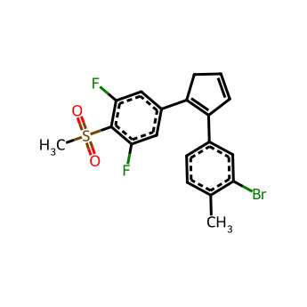 Cc1ccc(C2=C(c3cc(F)c(S(C)(=O)=O)c(F)c3)CC=C2)cc1Br